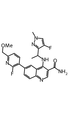 COCc1ccc(-c2ccc3ncc(C(N)=O)c(NC(C)c4nn(C)cc4F)c3c2)c(F)n1